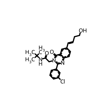 CC(C)(C)NC(=O)Cn1c(-c2cccc(Cl)c2)nc2ccc(C=CCCO)cc2c1=O